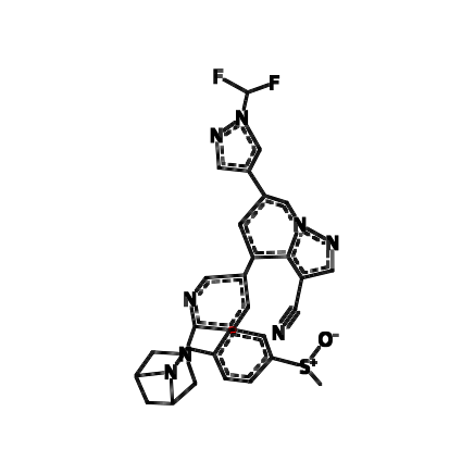 C[S+]([O-])c1ccc(CN2C3CC2CN(c2ccc(-c4cc(-c5cnn(C(F)F)c5)cn5ncc(C#N)c45)cn2)C3)cc1